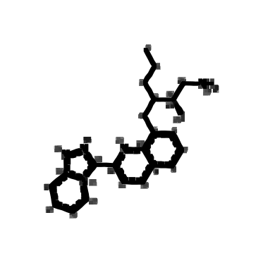 CCCC(Cc1cccc2ccc(-c3nnc4ccccn34)nc12)[C@H](I)CN